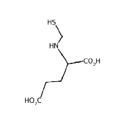 O=C(O)CCC(NCS)C(=O)O